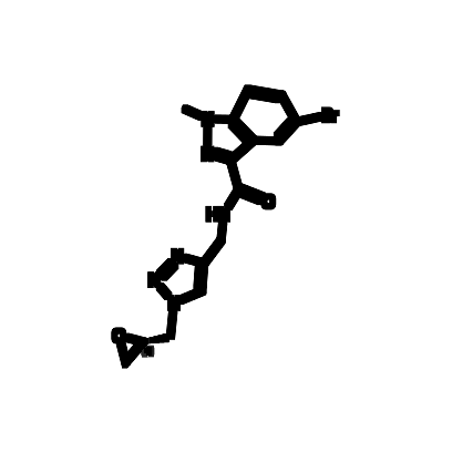 Cn1nc(C(=O)NCc2cn(C[C@@H]3CO3)nn2)c2cc(Br)ccc21